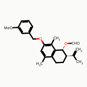 C=C(C)[C@@H]1CCc2c(C)cc(OCc3cccc(OC)c3)c(C)c2[C@@H]1OC=O